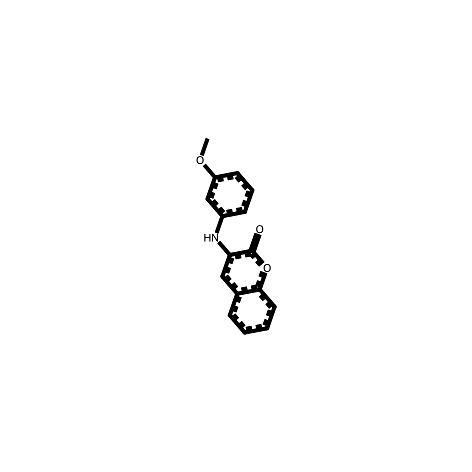 COc1cccc(Nc2cc3ccccc3oc2=O)c1